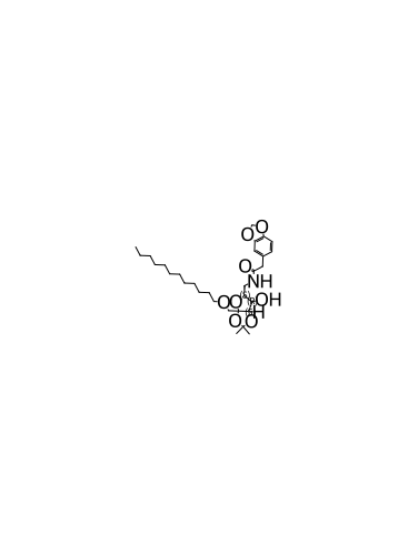 CCCCCCCCCCCCOCC12O[C@@H](CNC(=O)Cc3ccc4c(c3)OCO4)[C@@H](O)[C@@H]1OC(C)(C)O2